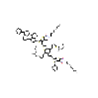 CCCCCCCCN1C(=O)c2sc3c(-c4cc5c(-c6ccc(CC(CC)CCCC)s6)c6sc(-c7sc(-c8ccc9c%10cccc%11c(-c%12ccccc%12)ccc(c%12cccc8c%129)c%11%10)c8sc9c(c78)C(=O)N(CCCCCCCC)C9=O)cc6c(-c6ccc(CC(CC)CCCC)s6)c5s4)sc(-c4ccccc4)c3c2C1=O